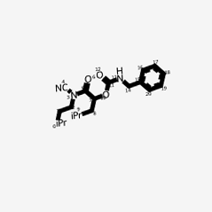 CC(C)CCN(C#N)C(=O)C(CC(C)C)OC(=O)NCc1ccccc1